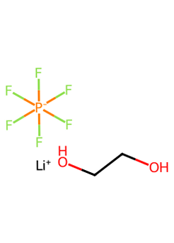 F[P-](F)(F)(F)(F)F.OCCO.[Li+]